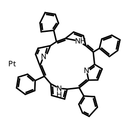 C1=Cc2nc1c(-c1ccccc1)c1ccc([nH]1)c(-c1ccccc1)c1nc(c(-c3ccccc3)c3ccc([nH]3)c2-c2ccccc2)C=C1.[Pt]